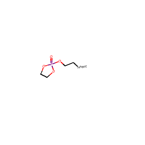 CCCCCCCOP1(=O)OCCO1